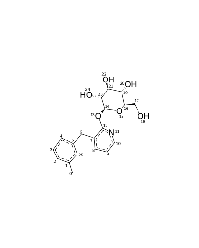 Cc1cccc(Cc2cccnc2O[C@@H]2O[C@H](CO)[C@@H](O)[C@H](O)[C@H]2O)c1